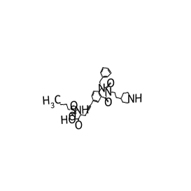 CCCCS(=O)(=O)NC(CC#Cc1ccc2c(c1)c(=O)n(CCC1CCNCC1)c(=O)n2Cc1ccccc1)C(=O)O